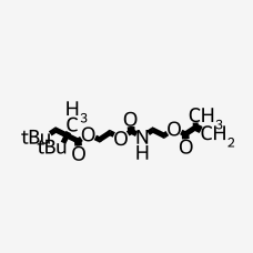 C=C(C)C(=O)OCCNC(=O)OCCOC(=O)C(C)(CC(C)(C)C)C(C)(C)C